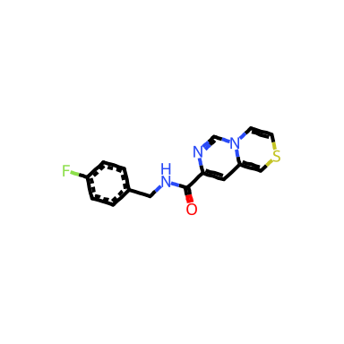 O=C(NCc1ccc(F)cc1)C1=CC2=CSC=CN2C=N1